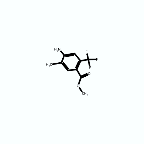 COC(=O)c1cc(C)c(N)cc1C(F)(F)F